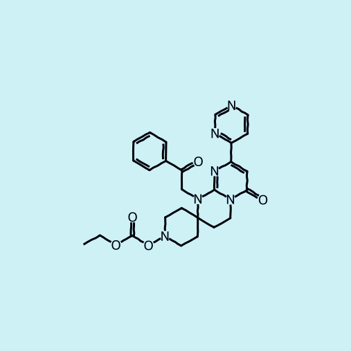 CCOC(=O)ON1CCC2(CC1)CCn1c(nc(-c3ccncn3)cc1=O)N2CC(=O)c1ccccc1